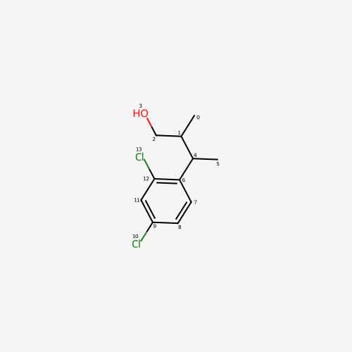 CC(CO)C(C)c1ccc(Cl)cc1Cl